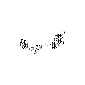 CCN(CCCCCCNc1cccc2c1C(=O)N(C1CCC(=O)NC1=O)C2=O)CC(C)NC(=O)c1ccc(-c2noc(C(F)(F)F)n2)cc1